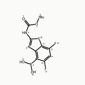 CC(C)(C)OC(=O)Nc1nc2c(B(O)O)c(F)cc(F)c2s1